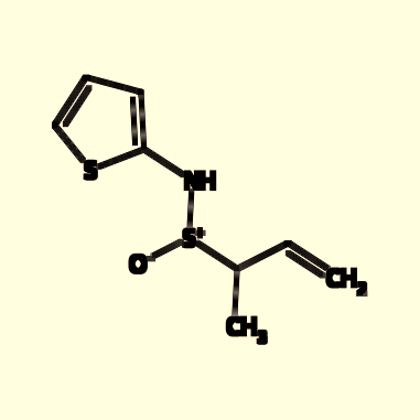 C=CC(C)[S+]([O-])Nc1cccs1